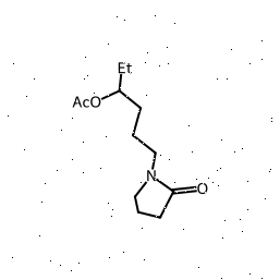 CCC(CCCN1CCCC1=O)OC(C)=O